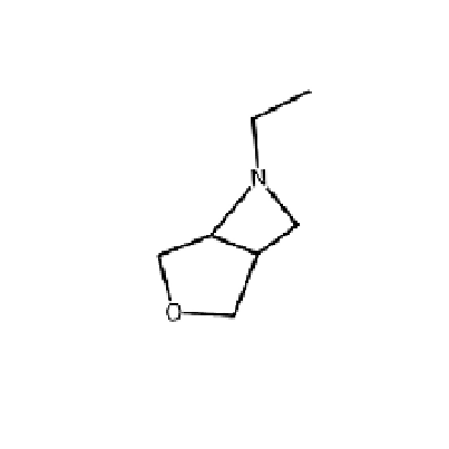 CCN1CC2COCC21